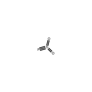 [O]=[Ti](=[O])#[P]